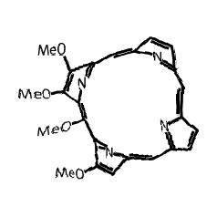 COC1=CC2=CC3=NC(=CC4=NC(=CC5=NC(=C(OC)C1=N2)C(OC)=C5OC)C=C4)C=C3